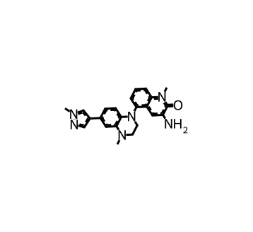 CN1CCN(c2cccc3c2cc(N)c(=O)n3C)c2ccc(-c3cnn(C)c3)cc21